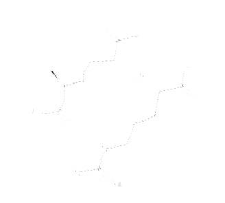 N=C(N)NCCC[C@H](N)C(=O)O.O=C(O)[C@@H](O)[C@@H](O)[C@H](O)[C@@H](O)C(=O)O